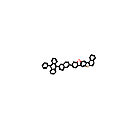 c1ccc(-c2c3ccccc3c(-c3ccc4cc(-c5ccc6c(c5)oc5cc7c(cc56)sc5ccc6ccccc6c57)ccc4c3)c3ccccc23)cc1